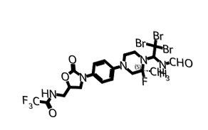 C[C@]1(F)CN(c2ccc(N3CC(CNC(=O)C(F)(F)F)OC3=O)cc2)CCN1C(NC=O)C(Br)(Br)Br